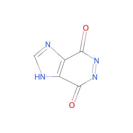 O=C1N=NC(=O)c2[nH]cnc21